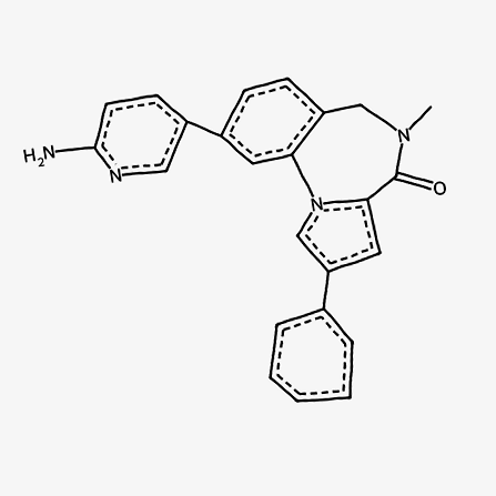 CN1Cc2ccc(-c3ccc(N)nc3)cc2-n2cc(-c3ccccc3)cc2C1=O